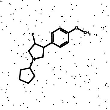 COc1ccc(C2CN(C3CCCC3)CC2F)cc1